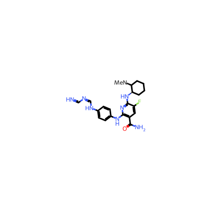 CNC1CCCC[C@H]1Nc1nc(Nc2ccc(N/C=N\C=N)cc2)c(C(N)=O)cc1F